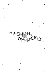 Cc1ccc(-c2nc(N)nc3c2C(=O)c2cccc(-c4ccc(N5CCN(Cc6ccccc6)CC5)cc4)c2-3)cc1